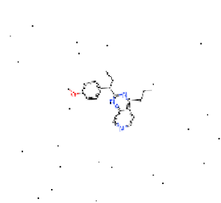 CCCc1nc(C(CC)c2ccc(OC)cc2)nc2cnccc12